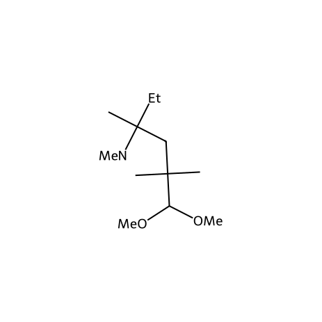 CCC(C)(CC(C)(C)C(OC)OC)NC